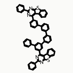 c1ccc(-c2cc(-c3cccc(-c4cccc(-c5cccc(-c6nc(-c7ccccc7)nc7sc8ccccc8c67)c5)c4)c3)cc(-c3nc(-c4ccccc4)nc4sc5ccccc5c34)c2)cc1